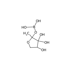 CC1(OB(O)O)OCC(O)C1(O)O